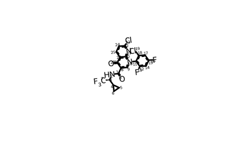 O=C(N[C@@H](C1CC1)C(F)(F)F)c1cn(-c2c(F)cc(F)cc2Cl)c2nc(Cl)ccc2c1=O